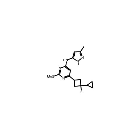 CSc1nc(Nc2cc(C)n[nH]2)cc(C2CC(F)(C3CC3)C2)n1